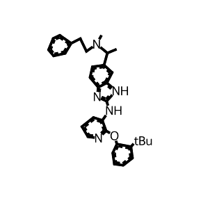 CC(c1ccc2nc(Nc3cccnc3Oc3ccccc3C(C)(C)C)[nH]c2c1)N(C)CCc1ccccc1